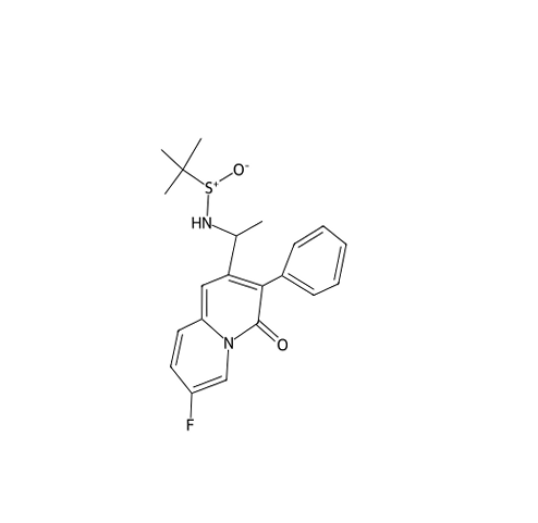 CC(N[S+]([O-])C(C)(C)C)c1cc2ccc(F)cn2c(=O)c1-c1ccccc1